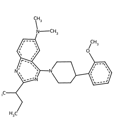 CCC(C)c1nc(N2CCC(c3ccccc3OC)CC2)c2cc(N(C)C)ccc2n1